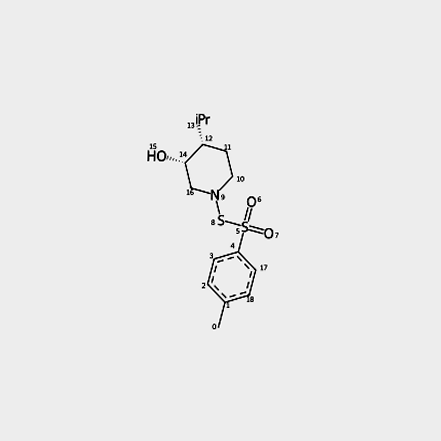 Cc1ccc(S(=O)(=O)SN2CC[C@@H](C(C)C)[C@@H](O)C2)cc1